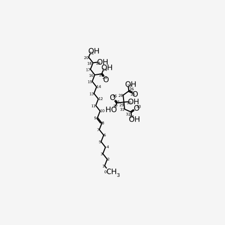 CCCCCCCCC=CCCCCCCC(CC(O)CO)C(=O)O.O=C(O)CC(O)(CC(=O)O)C(=O)O